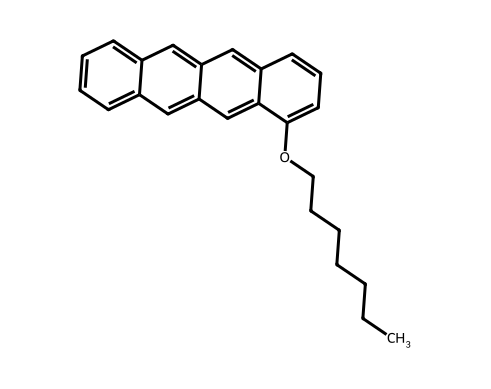 CCCCCCCOc1cccc2cc3cc4ccccc4cc3cc12